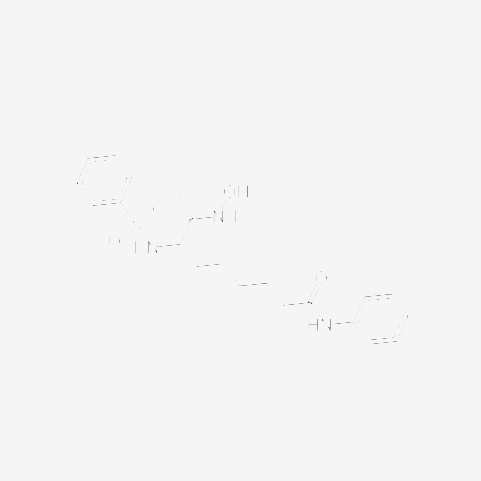 Cc1ccc(S(=O)(=O)N[C@@H](CCCCCC(=O)Nc2ccccc2)C(=O)NO)cc1